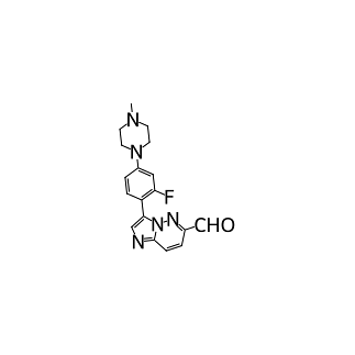 CN1CCN(c2ccc(-c3cnc4ccc(C=O)nn34)c(F)c2)CC1